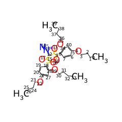 CCCCOc1ccc(S(=O)(=O)C(=[N+]=[N-])S(=O)(=O)c2ccc(OCCCC)cc2OCCCC)c(OCCCC)c1